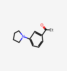 CCC(=O)c1cccc(N2CCCC2)c1